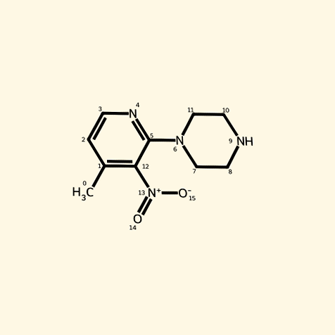 Cc1ccnc(N2CCNCC2)c1[N+](=O)[O-]